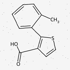 Cc1ccccc1-c1sccc1C(=O)O